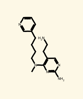 CN(CCCCc1cccnc1)c1nc(N)ncc1CCN